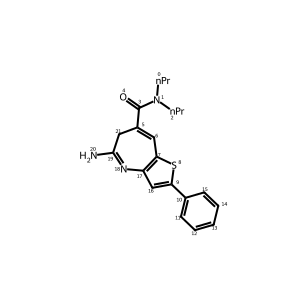 CCCN(CCC)C(=O)C1=Cc2sc(-c3ccccc3)cc2N=C(N)C1